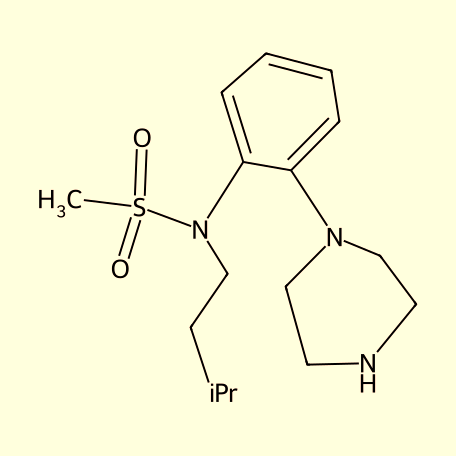 CC(C)CCN(c1ccccc1N1CCNCC1)S(C)(=O)=O